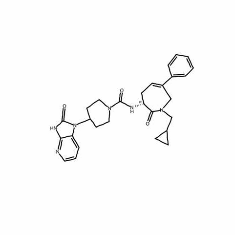 O=C(N[C@@H]1CC=C(c2ccccc2)CN(CC2CC2)C1=O)N1CCC(n2c(=O)[nH]c3ncccc32)CC1